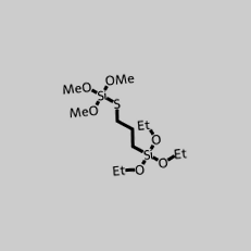 CCO[Si](CCCS[Si](OC)(OC)OC)(OCC)OCC